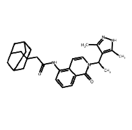 Cc1n[nH]c(C)c1C(C)n1ccc2c(NC(=O)CC34CC5CC(CC(C5)C3)C4)cccc2c1=O